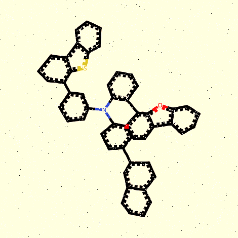 c1cc(-c2cccc3c2sc2ccccc23)cc(N(c2ccc(-c3ccc4ccccc4c3)cc2)c2ccccc2-c2cccc3c2oc2ccccc23)c1